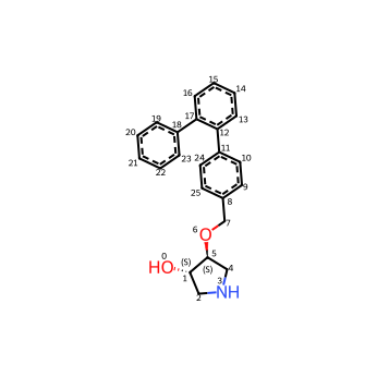 O[C@H]1CNC[C@@H]1OCc1ccc(-c2ccccc2-c2ccccc2)cc1